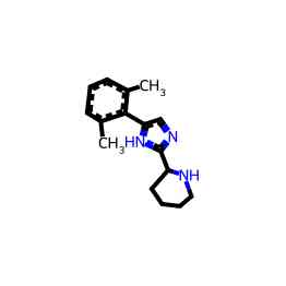 Cc1cccc(C)c1-c1cnc(C2CCCCN2)[nH]1